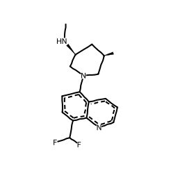 CN[C@H]1C[C@@H](C)CN(c2ccc(C(F)F)c3ncccc23)C1